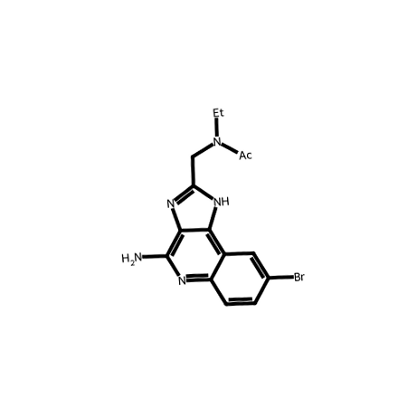 CCN(Cc1nc2c(N)nc3ccc(Br)cc3c2[nH]1)C(C)=O